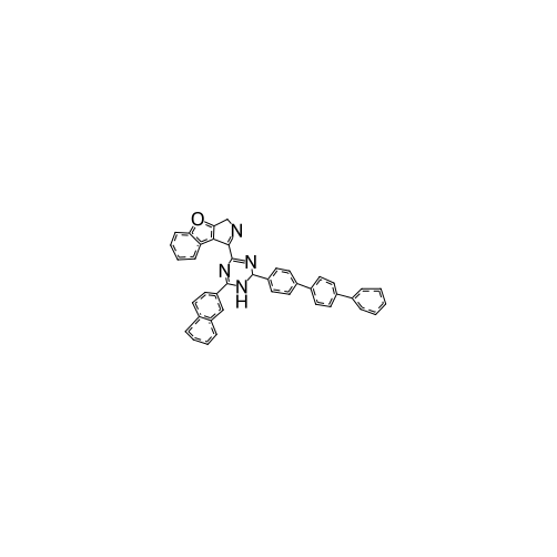 c1ccc(-c2ccc(-c3ccc(C4N=C(C5=NCc6oc7ccccc7c65)N=C(c5ccc6ccccc6c5)N4)cc3)cc2)cc1